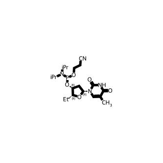 CC[C@H]1O[C@@H](n2cc(C)c(=O)[nH]c2=O)C[C@H]1OP(OCCC#N)N(C(C)C)C(C)C